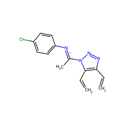 C=Cc1nnn(/C(C)=N/c2ccc(Cl)cc2)c1C=C